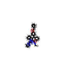 CCCNC(=O)c1c(C(c2ccccc2)c2ccc(OCc3ccccc3)cc2)c2ccccc2n1CCN1CCCC1